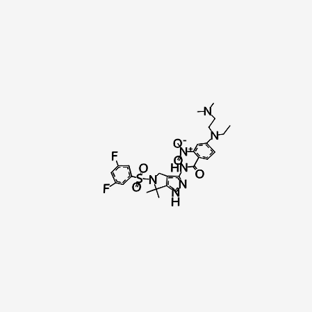 CCN(CCN(C)C)c1ccc(C(=O)Nc2n[nH]c3c2CN(S(=O)(=O)c2cc(F)cc(F)c2)C3(C)C)c([N+](=O)[O-])c1